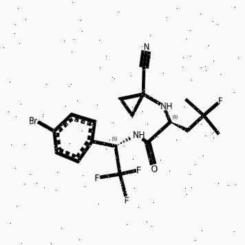 CC(C)(F)C[C@H](NC1(C#N)CC1)C(=O)N[C@@H](c1ccc(Br)cc1)C(F)(F)F